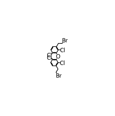 Clc1ccc(CCBr)c(Cl)c1Oc1c(Cl)ccc(CCBr)c1Cl